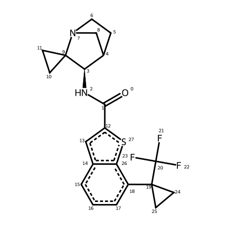 O=C(N[C@@H]1C2CCN(C2)C12CC2)c1cc2cccc(C3(C(F)(F)F)CC3)c2s1